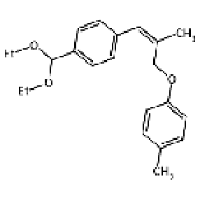 CCOC(OCC)c1ccc(C=C(C)COc2ccc(C)cc2)cc1